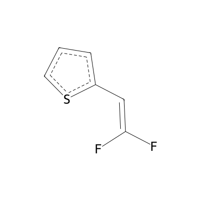 FC(F)=Cc1cccs1